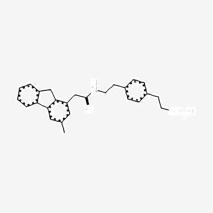 CCOC(=O)CCc1ccc(CCNC(=O)Cc2cc(C)cc3c2Cc2ccccc2-3)cc1